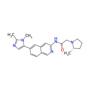 Cc1ncc(-c2ccc3cnc(NC(=O)CN4CCC[C@@H]4C)cc3c2)n1C